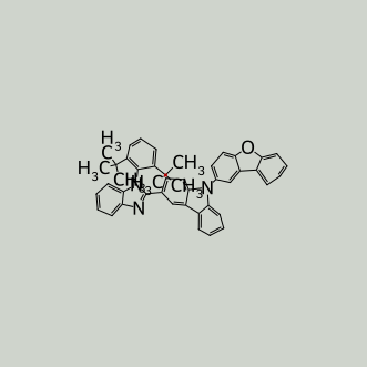 CC(C)(C)c1cccc(C(C)(C)C)c1-n1c(-c2ccc3c(c2)c2ccccc2n3-c2ccc3oc4ccccc4c3c2)nc2ccccc21